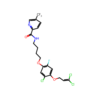 O=C(NCCCCOc1cc(Cl)c(OCC=C(Cl)Cl)cc1F)c1ccc(C(F)(F)F)cn1